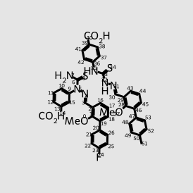 COc1c(C=NN(C(N)=S)c2cccc(C(=O)O)c2)cccc1-c1ccc(F)cc1.COc1c(C=NNC(=S)Nc2ccc(C(=O)O)cc2)cccc1-c1ccc(C)cc1